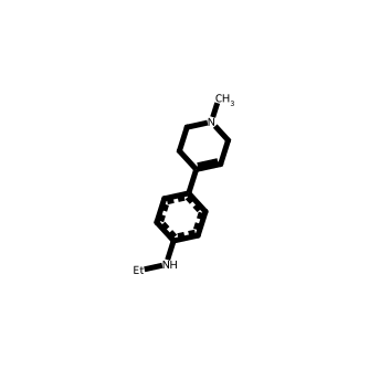 CCNc1ccc(C2=CCN(C)CC2)cc1